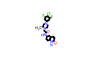 C[C@@H]1CN(c2cc(F)c(Cl)c(F)c2)CCN1CC(=O)Nc1ccc2[nH]c(=O)ccc2c1